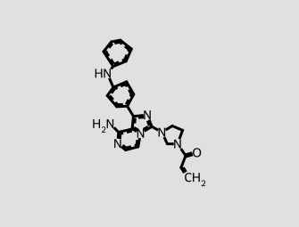 C=CC(=O)N1CCN(c2nc(-c3ccc(Nc4ccccc4)cc3)c3c(N)nccn23)C1